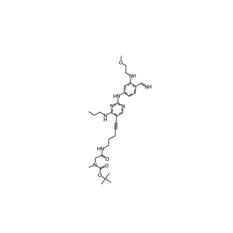 CCCNc1nc(Nc2ccc(C=N)c(NCCOC)c2)ncc1C#CCCCNC(=O)CN(C)C(=O)OC(C)(C)C